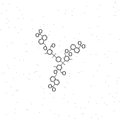 COC(=O)c1cccc2c(COc3c(C)cc(C(C)(C)c4ccc(C(C)(c5cc(C)c(OCc6cccc7c(C(=O)OC)cccc67)c(C=O)c5)c5cc(C)c(OCc6cccc7c(C(=O)OC)cccc67)c(C=O)c5)cc4)cc3C=O)cccc12